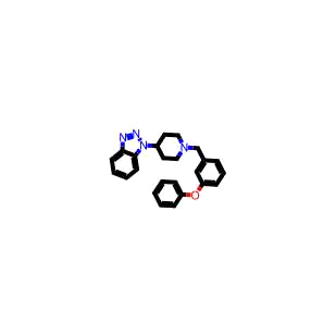 c1ccc(Oc2cccc(CN3CCC(n4nnc5ccccc54)CC3)c2)cc1